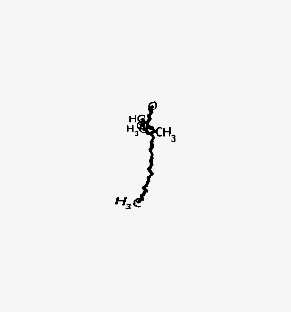 CCCCCCCCCCCCCCCCc1cc(C)c(C(CCCC=O)C(=O)O)cc1C